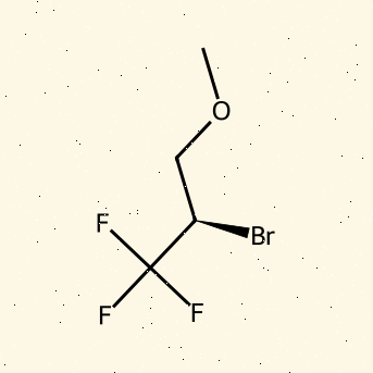 COC[C@@H](Br)C(F)(F)F